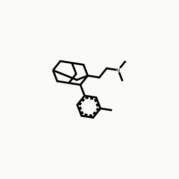 Cc1cccc(C2C3CC4CC(C3)CC2(CCN(C)C)C4)c1